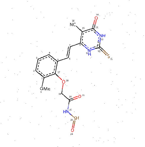 COc1cccc(/C=C/c2[nH]c(=S)[nH]c(=O)c2C#N)c1OCC(=O)N[SH]=O